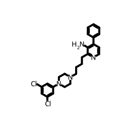 Nc1c(-c2ccccc2)ccnc1CCCCN1CCN(c2cc(Cl)cc(Cl)c2)CC1